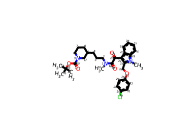 CN(CCCC1CCCN(C(=O)OC(C)(C)C)C1)C(=O)C(=O)c1c(COc2ccc(Cl)cc2)n(C)c2ccccc12